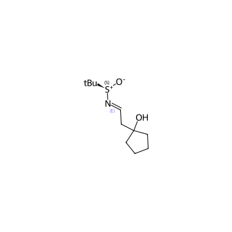 CC(C)(C)[S@@+]([O-])/N=C/CC1(O)CCCC1